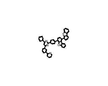 c1ccc(-c2cc(-c3cccc(-c4ccccn4)c3)nc(-c3ccc(-c4ccc(-c5cccc6c5sc5ccccc56)c5c4oc4ccccc45)cc3)n2)cc1